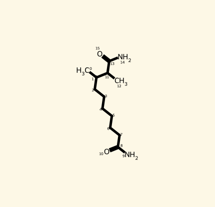 C[C](CCCCCCC(N)=O)C(C)C(N)=O